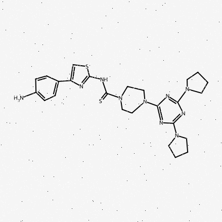 Nc1ccc(-c2csc(NC(=S)N3CCN(c4nc(N5CCCC5)nc(N5CCCC5)n4)CC3)n2)cc1